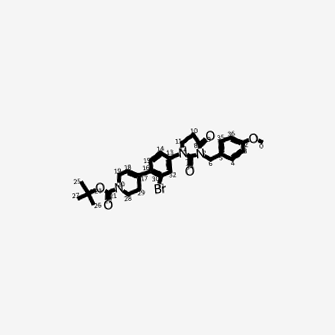 COc1ccc(CN2C(=O)CCN(c3ccc(C4=CCN(C(=O)OC(C)(C)C)CC4)c(Br)c3)C2=O)cc1